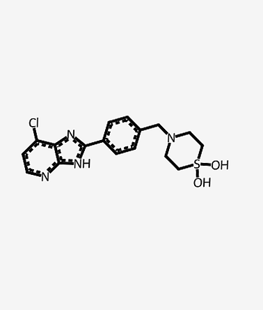 OS1(O)CCN(Cc2ccc(-c3nc4c(Cl)ccnc4[nH]3)cc2)CC1